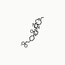 CCN1CCc2ncc(N3CCN([C@H]4CC[C@H](CCC(=O)OC)CC4)C3=O)nc2CC1